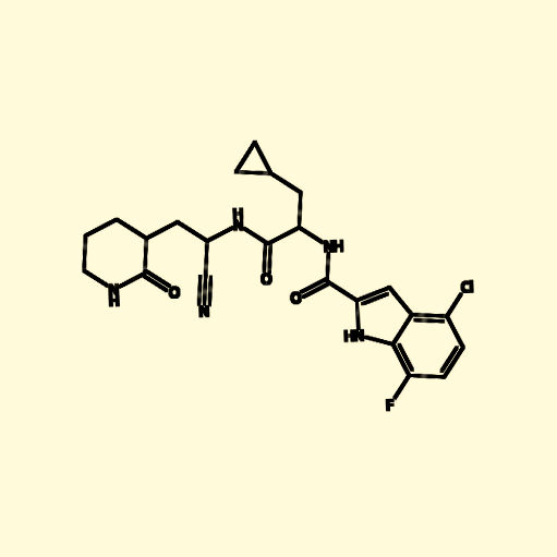 N#CC(CC1CCCNC1=O)NC(=O)C(CC1CC1)NC(=O)c1cc2c(Cl)ccc(F)c2[nH]1